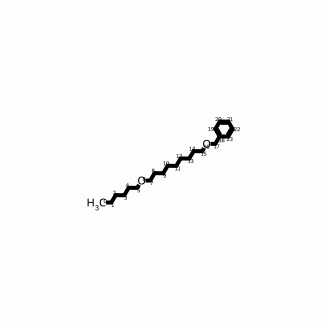 CCCCCCOCCCCCCCCCOCc1ccccc1